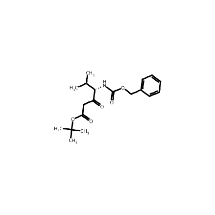 CC(C)[C@H](NC(=O)OCc1ccccc1)C(=O)CC(=O)OC(C)(C)C